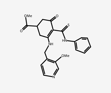 COC(=O)C1CC(=O)C(C(=S)Nc2ccccc2)=C(NCc2ccncc2OC)C1